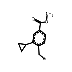 COC(=O)c1ccc(CBr)c(C2CC2)c1